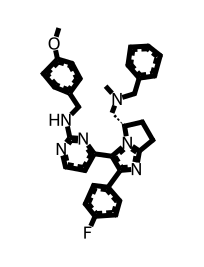 COc1ccc(CNc2nccc(-c3c(-c4ccc(F)cc4)nc4n3[C@H](CN(C)Cc3ccccc3)CC4)n2)cc1